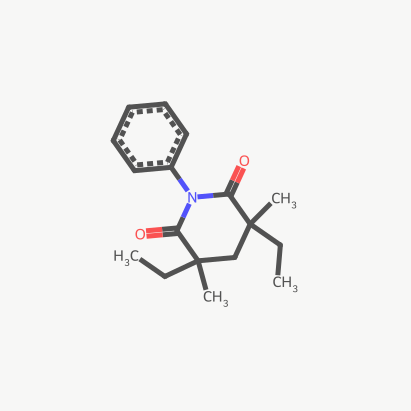 CCC1(C)CC(C)(CC)C(=O)N(c2ccccc2)C1=O